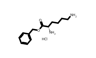 Cl.NCCCC[C@H](N)C(=O)OCc1ccccc1